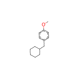 COc1ccc(CC2CCCCC2)cc1